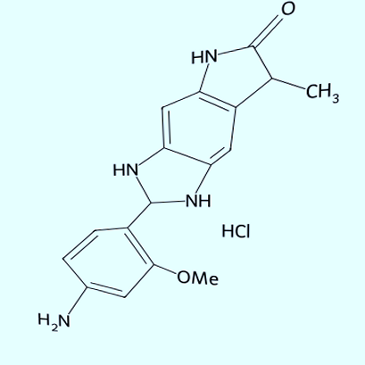 COc1cc(N)ccc1C1Nc2cc3c(cc2N1)C(C)C(=O)N3.Cl